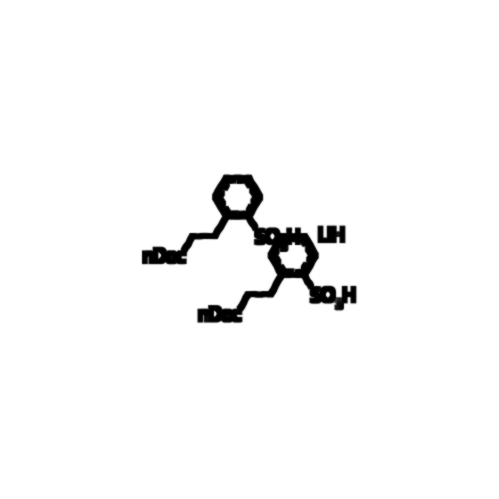 CCCCCCCCCCCCc1ccccc1S(=O)(=O)O.CCCCCCCCCCCCc1ccccc1S(=O)(=O)O.[LiH]